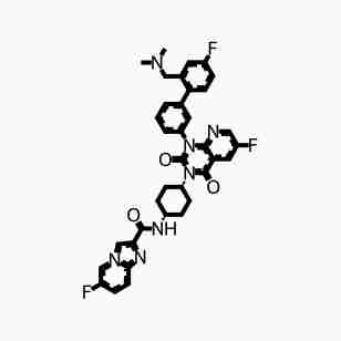 CN(C)Cc1cc(F)ccc1-c1cccc(-n2c(=O)n([C@H]3CC[C@@H](NC(=O)c4cn5cc(F)ccc5n4)CC3)c(=O)c3cc(F)cnc32)c1